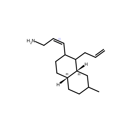 C=CCC1C(/C=C\CN)CC[C@H]2CCC(C)C[C@@H]12